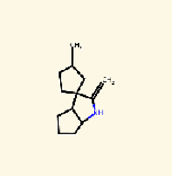 C=C1NC2CCCC2C12CCC(C)C2